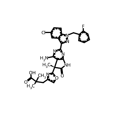 CC(C)(Cc1coc([C@@]2(C)C(=O)Nc3nc(-c4nn(Cc5ccccc5F)c5ccc(Cl)cc45)nc(N)c32)n1)C(=O)O